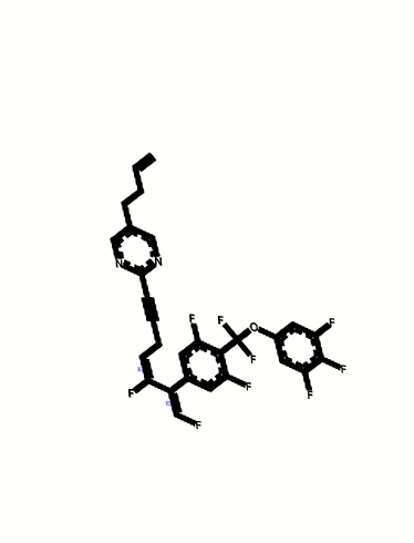 C=CCCc1cnc(C#CC/C=C(F)\C(=C\F)c2cc(F)c(C(F)(F)Oc3cc(F)c(F)c(F)c3)c(F)c2)nc1